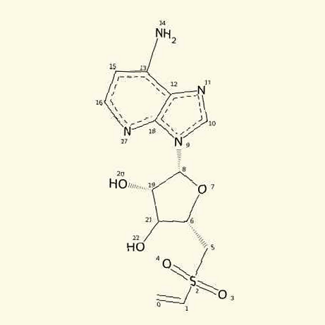 C=CS(=O)(=O)C[C@H]1O[C@@H](n2cnc3c(N)ccnc32)[C@@H](O)C1O